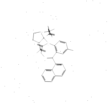 CC(=O)[C@H]1CCN[C@]1(C(=O)O)[N@+]1(CC(C)(C)C)C(=O)COC(c2cccc3ccccc23)c2cc(C)ccc21